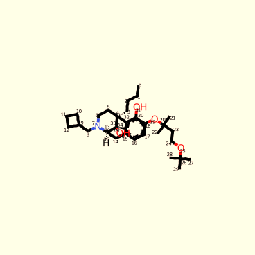 CCCC[C@]12CCN(CC3CCC3)[C@H](Cc3ccc(OC(C)(C)CCOC(C)(C)C)c(O)c31)[C@@]2(C)O